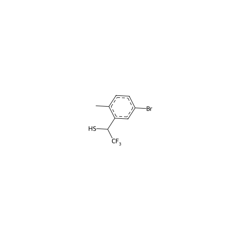 Cc1ccc(Br)cc1C(S)C(F)(F)F